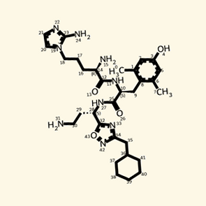 Cc1cc(O)cc(C)c1C[C@H](NC(=O)[C@H](N)CCCn1ccnc1N)C(=O)N[C@@H](CCN)c1nc(CC2CCCCC2)no1